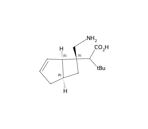 CC(C)(C)C(C(=O)O)[C@]1(CN)C[C@H]2CC=C[C@H]21